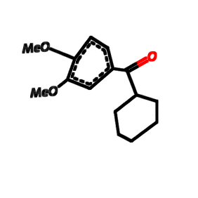 COc1ccc(C(=O)C2CCCCC2)cc1OC